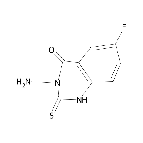 Nn1c(=S)[nH]c2ccc(F)cc2c1=O